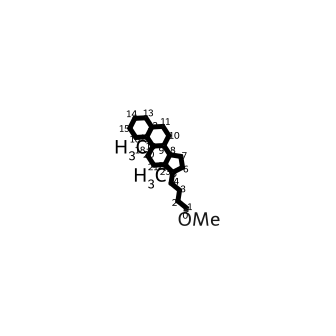 COCCCCC1CCC2C3CCC4CCCCC4(C)C3CCC12C